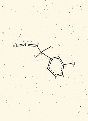 CCc1cccc(C(C)(C)N=[N+]=[N-])c1